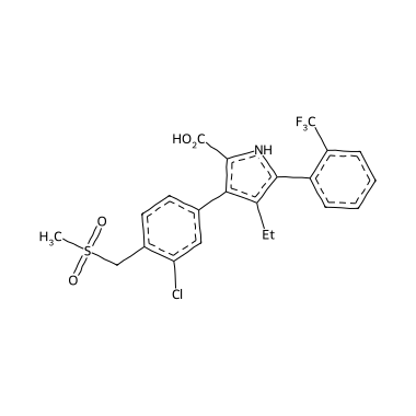 CCc1c(-c2ccccc2C(F)(F)F)[nH]c(C(=O)O)c1-c1ccc(CS(C)(=O)=O)c(Cl)c1